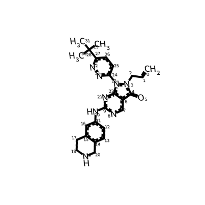 C=CCn1c(=O)c2cnc(Nc3ccc4c(c3)CCNC4)nc2n1-c1ccc(C(C)(C)C)nn1